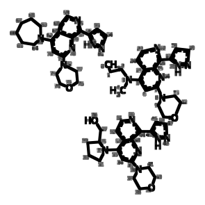 CCCN(C)c1cc(N2CCOCC2)nc2c(-c3ccn[nH]3)nccc12.OCC1CCCN1c1cc(N2CCOCC2)nc2c(-c3ccn[nH]3)nccc12.c1cc(-c2nccc3c(N4CCCCCC4)cc(N4CCOCC4)nc23)[nH]n1